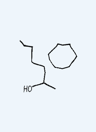 C1CCCCC1.CCCCC(C)O